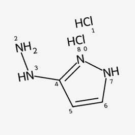 Cl.Cl.NNc1cc[nH]n1